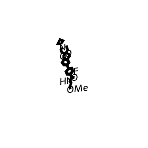 COCCNC(=O)c1ccc(-c2ccc3c(c2)COC2(CCN(C4CCC4)CC2)O3)cc1F